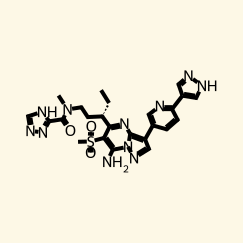 CC[C@@H](CCN(C)C(=O)c1nnc[nH]1)c1nc2c(-c3ccc(-c4cn[nH]c4)nc3)cnn2c(N)c1S(C)(=O)=O